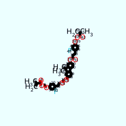 C=C(C)C(=O)OCOc1ccc(C=COCOc2ccc3c(c2)C(C)(C)c2cc(OC(=O)C=Cc4ccc(OCOC(=O)C(=C)C)cc4F)ccc2-3)c(F)c1